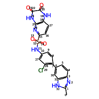 Cc1nc2ccc(-c3ccc(NS(=O)(=O)c4ccc5[nH]c(=O)c(=O)[nH]c5n4)cc3Cl)cc2[nH]1